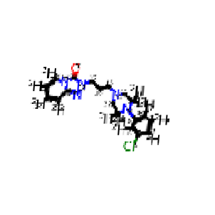 [2H]c1c([2H])c(Cl)c([2H])c(N2C([2H])([2H])CN(CCCn3nc4c([2H])c([2H])c([2H])c([2H])n4c3=O)CC2([2H])[2H])c1[2H]